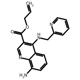 C=CCOC(=O)c1cnc2c(N)cccc2c1NCc1ccccn1